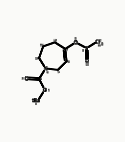 CC(C)(C)OC(=O)N1CC=C(OS(=O)C(F)(F)F)CCC1